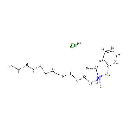 CCCCCCCCCCCC[N+](C)(CC)Cc1ccccc1.[Br-]